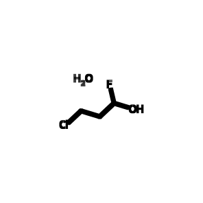 O.OC(F)CCCl